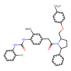 COc1cc(CC(=O)N2C(COc3ccc(C(=O)O)cc3)CCC2c2ccccc2)ccc1NC(=O)Nc1ccccc1Cl